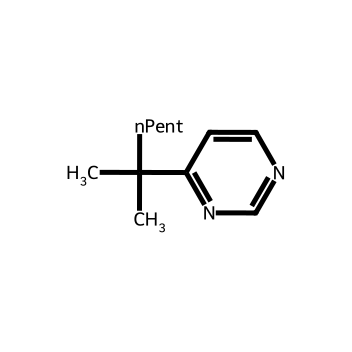 CCCCCC(C)(C)c1ccncn1